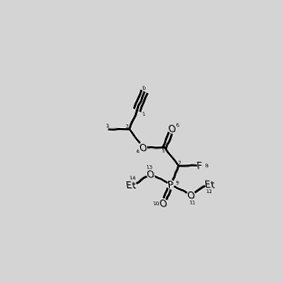 C#CC(C)OC(=O)C(F)P(=O)(OCC)OCC